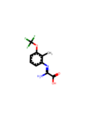 Cc1c(/N=C(\N)C(=O)O)cccc1OC(F)(F)F